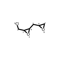 ClCC1OC1CC1CO1